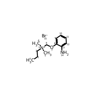 CCC[N+](C)(C)COc1ccccc1N.[Br-]